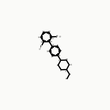 CCC1CCC(c2ccc(-c3c(F)cccc3F)cc2)CC1